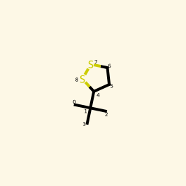 CC(C)(C)C1CCSS1